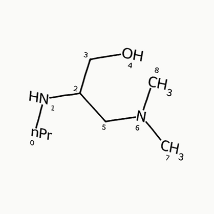 CCCNC(CO)CN(C)C